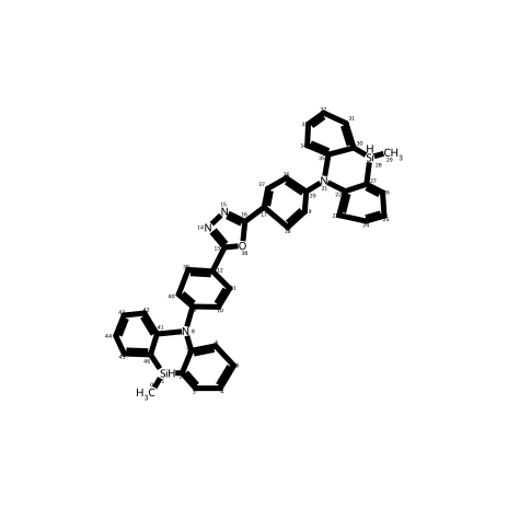 C[SiH]1c2ccccc2N(c2ccc(-c3nnc(-c4ccc(N5c6ccccc6[SiH](C)c6ccccc65)cc4)o3)cc2)c2ccccc21